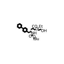 CCOC(=O)[C@H](COCCO)C[C@@H](Cc1ccc(-c2ccccc2)cc1)NC(=O)OC(C)(C)C